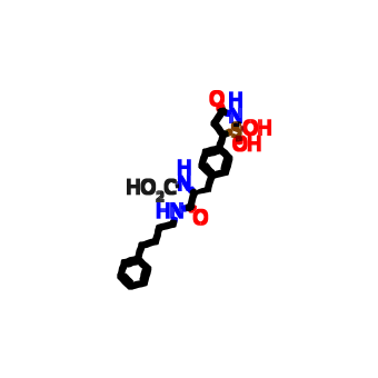 O=C(O)N[C@@H](Cc1ccc(C2CC(=O)NS2(O)O)cc1)C(=O)NCCCCc1ccccc1